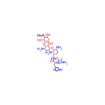 CN[C@@H]1[C@@H](O)[C@@H](O[C@@H]2[C@@H](O)[C@H](O[C@H]3O[C@H]([C@@H](C)NC(=O)C(Cc4c[nH]cn4)NC(=O)C(C)N)CC[C@H]3N)[C@@H](N)C[C@H]2N)OC[C@]1(C)O